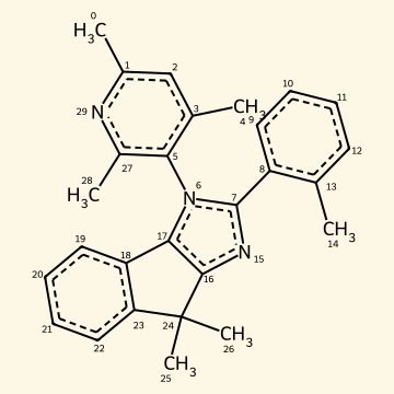 Cc1cc(C)c(-n2c(-c3ccccc3C)nc3c2-c2ccccc2C3(C)C)c(C)n1